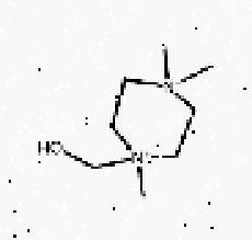 C[N+]1(C)CC[N+](C)(CO)CC1